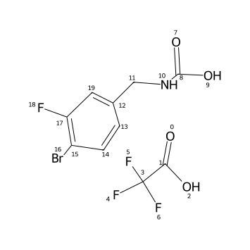 O=C(O)C(F)(F)F.O=C(O)NCc1ccc(Br)c(F)c1